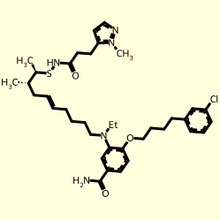 CCN(CCCC/C=C/C[C@H](C)[C@@H](C)SNC(=O)CCc1ccnn1C)c1cc(C(N)=O)ccc1OCCCCc1cccc(Cl)c1